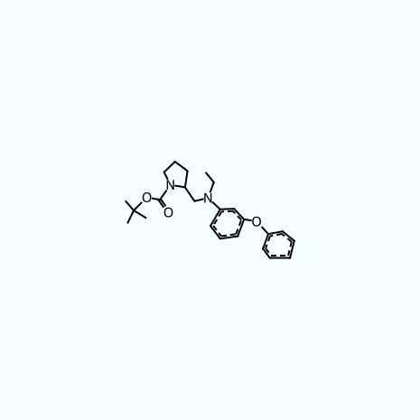 CCN(CC1CCCN1C(=O)OC(C)(C)C)c1cccc(Oc2ccccc2)c1